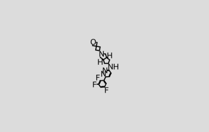 Fc1cc(F)c(F)c(-c2ccc(N[C@@H]3C[C@@H]4CN(C5CC6(COC6)C5)C[C@@H]4C3)nn2)c1